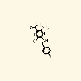 Nc1nc(NCc2ccc(I)cc2)c(Cl)nc1C(=O)O